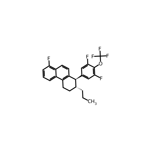 CCC[C@@H]1CCc2c(ccc3c(F)cccc23)[C@H]1c1cc(F)c(OC(F)(F)F)c(F)c1